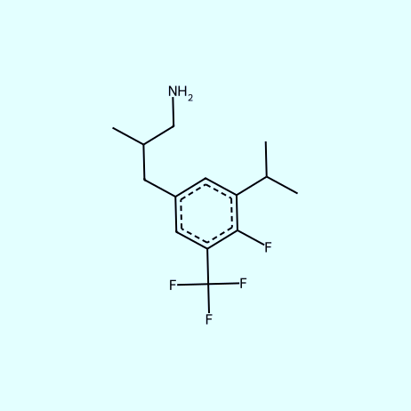 CC(CN)Cc1cc(C(C)C)c(F)c(C(F)(F)F)c1